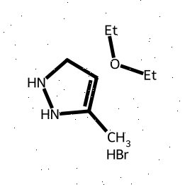 Br.CC1=CCNN1.CCOCC